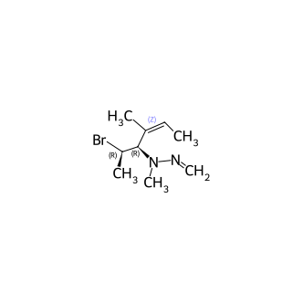 C=NN(C)[C@H](/C(C)=C\C)[C@@H](C)Br